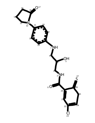 O=C(NCC(O)CNc1ccc(N2CCCC2=O)cc1)C1=CC(Cl)=CCC1=S